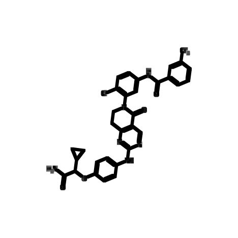 NC(=O)C(Oc1ccc(Nc2ncc3c(n2)CCN(c2cc(NC(=O)c4cccc(C(F)(F)F)c4)ccc2Cl)C3=O)cc1)C1CC1